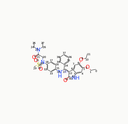 CCOc1cc2c(cc1OCC)/C(=C(/Nc1ccc(N(CC(=O)N(CC)CC)S(C)(=O)=O)cc1)c1ccccc1)C(=O)N2